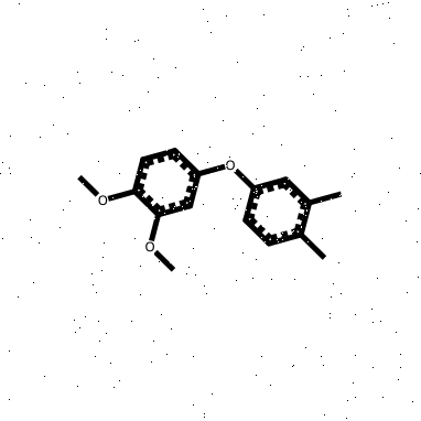 COc1ccc(Oc2ccc(C)c(C)c2)cc1OC